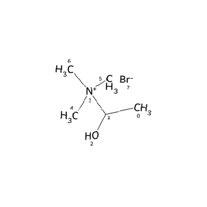 CC(O)[N+](C)(C)C.[Br-]